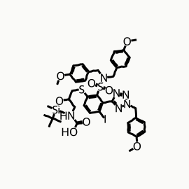 COc1ccc(CN(Cc2ccc(OC)cc2)S(=O)(=O)c2c(SCC(CNC(=O)O)O[Si](C)(C)C(C)(C)C)ccc(I)c2-c2nnn(Cc3ccc(OC)cc3)n2)cc1